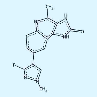 Cc1nc2ccc(-c3cn(C)nc3F)cc2c2[nH]c(=O)[nH]c12